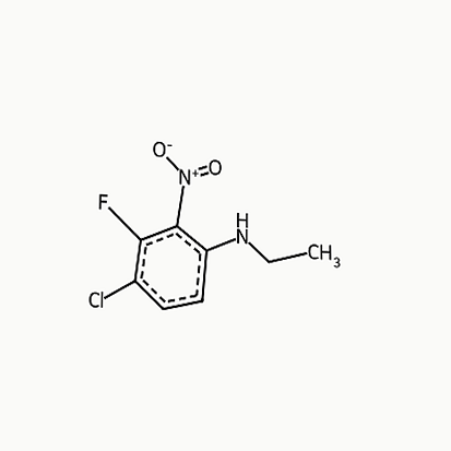 CCNc1ccc(Cl)c(F)c1[N+](=O)[O-]